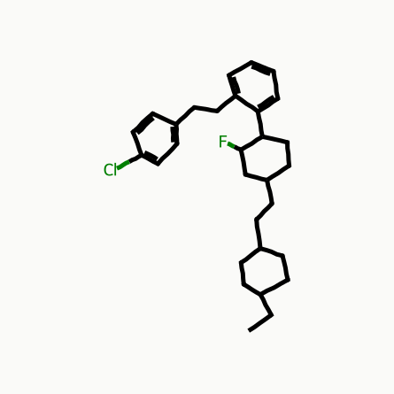 CCC1CCC(CCC2CCC(c3ccccc3CCc3ccc(Cl)cc3)C(F)C2)CC1